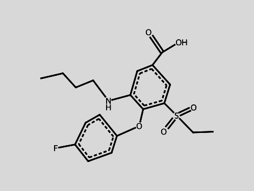 CCCCNc1cc(C(=O)O)cc(S(=O)(=O)CC)c1Oc1ccc(F)cc1